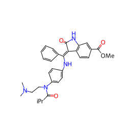 COC(=O)c1ccc2c(c1)NC(=O)C2=C(Nc1ccc(N(CCN(C)C)C(=O)C(C)C)cc1)c1ccccc1